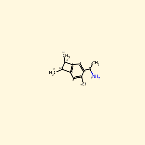 CCc1cc2c(cc1C(C)N)C(C)C2C